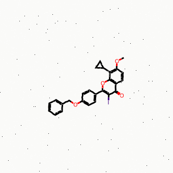 COc1ccc2c(=O)c(I)c(-c3ccc(OCc4ccccc4)cc3)oc2c1C1CC1